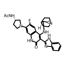 CC(=O)N[C@H]1CCN(c2cc3[nH]c(=O)c(-c4nc5ccccc5[nH]4)c(N[C@@H]4CN5CCC4CC5)c3cc2F)C1